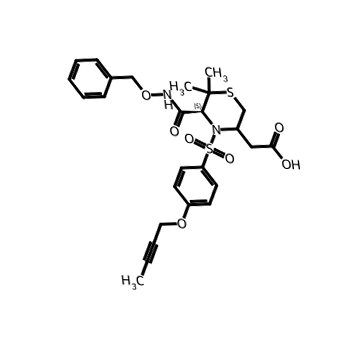 CC#CCOc1ccc(S(=O)(=O)N2C(CC(=O)O)CSC(C)(C)[C@@H]2C(=O)NOCc2ccccc2)cc1